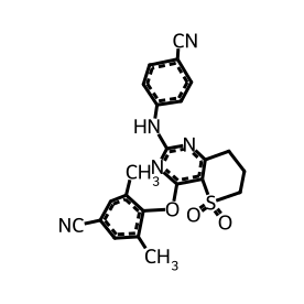 Cc1cc(C#N)cc(C)c1Oc1nc(Nc2ccc(C#N)cc2)nc2c1S(=O)(=O)CCC2